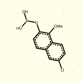 COc1c(OB(O)O)ccc2cc(Cl)ccc12